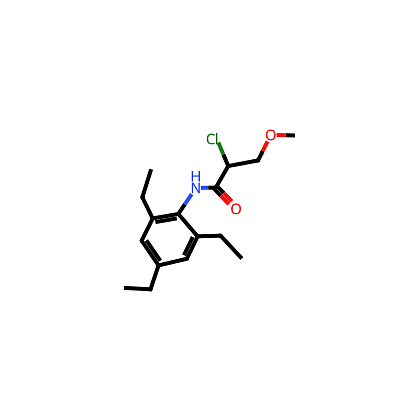 CCc1cc(CC)c(NC(=O)C(Cl)COC)c(CC)c1